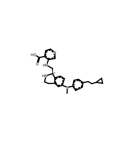 CN(c1ccc(CCC2CC2)cc1)c1ccc2c(c1)CCN[C@H]2CNc1cnccc1C(=O)O